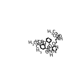 CCS(=O)(=O)NCCOc1ncnc(NS(=O)(=O)c2ccc(C(C)(C)C)cc2)c1Oc1ccccc1OC